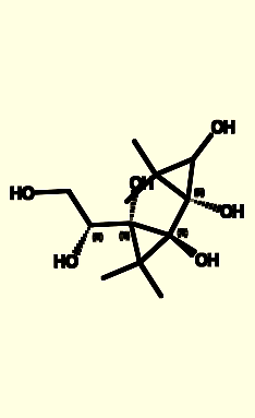 CC1(C)C(O)[C@@]1(O)[C@]1(O)C(C)(C)[C@@]1(O)[C@H](O)CO